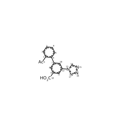 CC(=O)c1ccccc1-c1cc(C(=O)O)cc(-n2cnnn2)c1